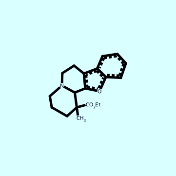 CCOC(=O)C1(C)CCCN2CCc3c(oc4ccccc34)C21